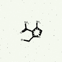 CC(C)Cc1scc(N)c1C(N)=O